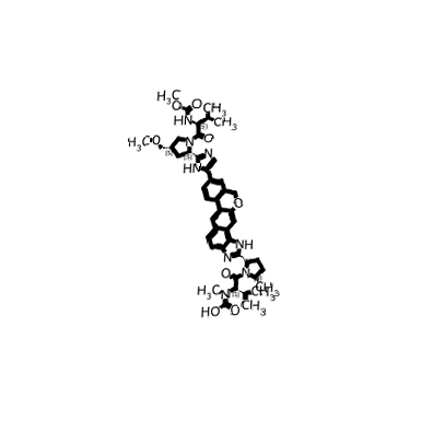 COC[C@H]1C[C@@H](c2ncc(-c3ccc4c(c3)COc3cc5c(ccc6nc([C@@H]7CC[C@H](C)N7C(=O)[C@H](C(C)C)N(C)C(=O)O)[nH]c65)cc3-4)[nH]2)N(C(=O)[C@@H](NC(=O)OC)C(C)C)C1